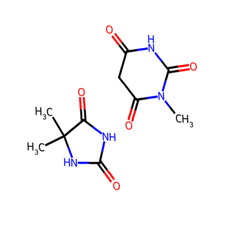 CC1(C)NC(=O)NC1=O.CN1C(=O)CC(=O)NC1=O